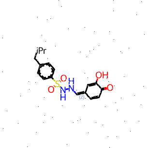 CC(C)Cc1ccc(S(=O)(=O)NN/C=C2/C=CC(=O)C(O)=C2)cc1